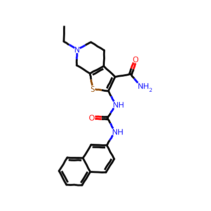 CCN1CCc2c(sc(NC(=O)Nc3ccc4ccccc4c3)c2C(N)=O)C1